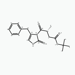 C[C@H](CC(=O)OC(C)(C)C)C(=O)n1c(Cc2ccccc2)coc1=O